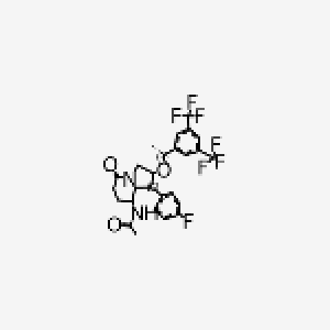 CC(=O)NC1CCC(=O)N2CC(O[C@H](C)c3cc(C(F)(F)F)cc(C(F)(F)F)c3)[C@@H](c3ccc(F)cc3)C12